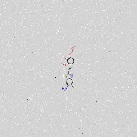 COCOc1ccc(/C=C/c2nc3cc(C)c(N)cc3s2)c(OC)c1Br